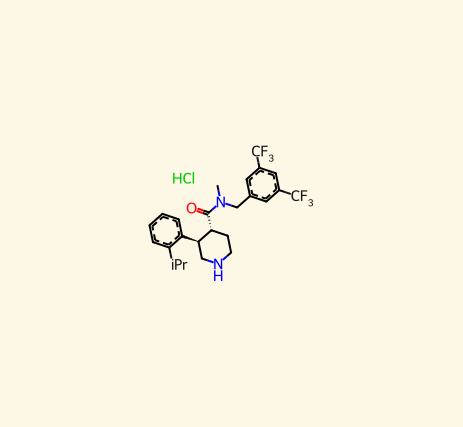 CC(C)c1ccccc1[C@@H]1CNCC[C@H]1C(=O)N(C)Cc1cc(C(F)(F)F)cc(C(F)(F)F)c1.Cl